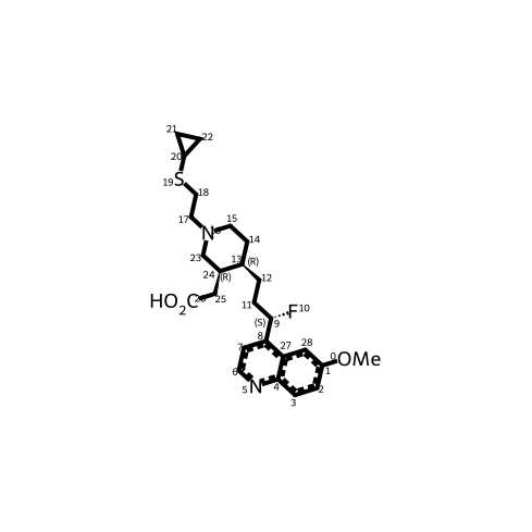 COc1ccc2nccc([C@@H](F)CC[C@@H]3CCN(CCSC4CC4)C[C@@H]3CC(=O)O)c2c1